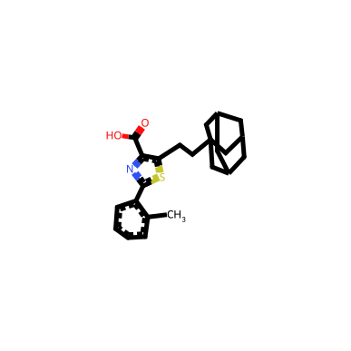 Cc1ccccc1-c1nc(C(=O)O)c(CCC23CC4CC(CC(C4)C2)C3)s1